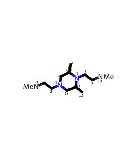 CNCCN1CC(C)N(CCNC)C(C)C1